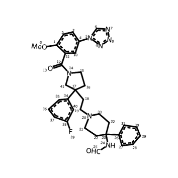 COc1ccc(-n2cnnn2)cc1C(=O)N1CCC(CCN2CCC(NC=O)(c3ccccc3)CC2)(c2cccc(F)c2)C1